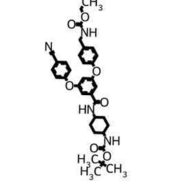 CCOC(=O)NCc1ccc(Oc2cc(Oc3ccc(C#N)cc3)cc(C(=O)NC3CCC(NC(=O)OC(C)(C)C)CC3)c2)cc1